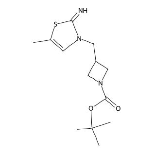 Cc1cn(CC2CN(C(=O)OC(C)(C)C)C2)c(=N)s1